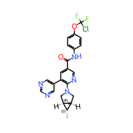 C[C@@H]1[C@H]2CN(c3ncc(C(=O)Nc4ccc(OC(F)(F)Cl)cc4)cc3-c3cncnc3)C[C@@H]12